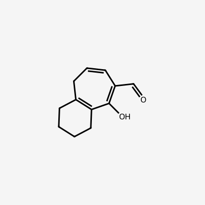 O=CC1=C(O)C2=C(CC=C1)CCCC2